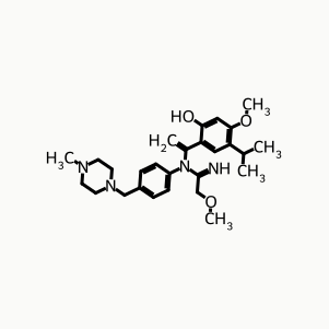 C=C(c1cc(C(C)C)c(OC)cc1O)N(C(=N)COC)c1ccc(CN2CCN(C)CC2)cc1